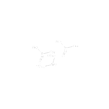 CCCCCCCCCCNCCCCCCCCCC.O=[PH](O)O.O=[PH](O)O